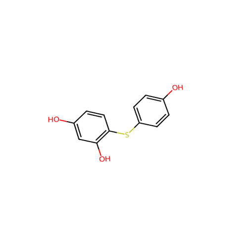 Oc1ccc(Sc2ccc(O)cc2O)cc1